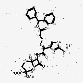 CSC1(C(=O)[O-])CS[C@@H]2C(NC(=O)C(=NOCC(=O)OC(c3ccccc3)c3ccccc3)c3csc(N)n3)C(=O)N2C1.[Na+]